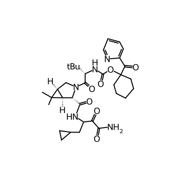 CC(C)(C)[C@H](NC(=O)OC1(C(=O)c2ccccn2)CCCCC1)C(=O)N1C[C@H]2[C@@H]([C@H]1C(=O)NC(CC1CC1)C(=O)C(N)=O)C2(C)C